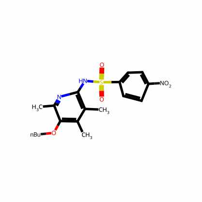 CCCCOc1c(C)nc(NS(=O)(=O)c2ccc([N+](=O)[O-])cc2)c(C)c1C